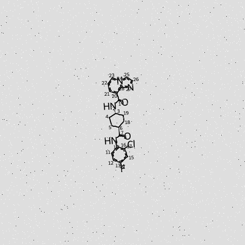 O=C(N[C@H]1CC[C@H](C(=O)Nc2ccc(F)cc2Cl)CC1)c1cccn2ccnc12